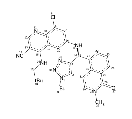 CCC(C)n1cc([C@@H](Nc2cc(Cl)c3ncc(C#N)c(NCC(C)(C)C)c3c2)c2cccc3c(=O)n(C)ccc23)nn1